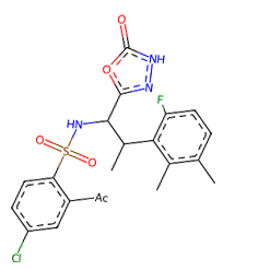 CC(=O)c1cc(Cl)ccc1S(=O)(=O)NC(c1n[nH]c(=O)o1)C(C)c1c(F)ccc(C)c1C